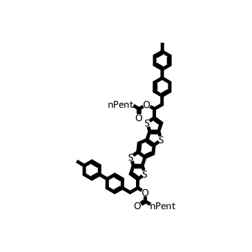 CCCCCC(=O)OC(CC1=CCC(C2=CCC(C)C=C2)C=C1)c1cc2sc3cc4c(cc3c2s1)sc1cc(C(CC2=CCC(c3ccc(C)cc3)C=C2)OC(=O)CCCCC)sc14